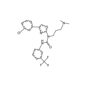 CN(C)CCCN(C(=O)Nc1cccc(C(F)(F)F)c1)c1nc(-c2cccc(Cl)c2)cs1